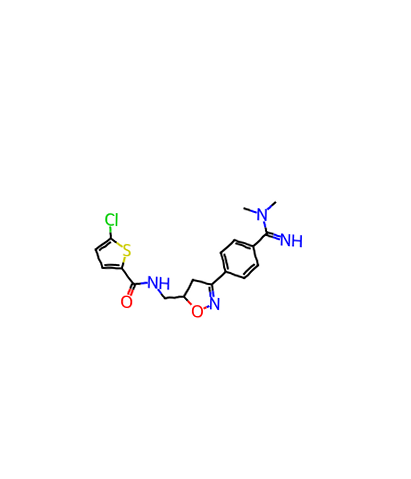 CN(C)C(=N)c1ccc(C2=NOC(CNC(=O)c3ccc(Cl)s3)C2)cc1